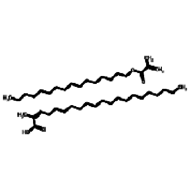 C=C(C)C(=O)OCCCCCCCCCCCCCCCC.CCCCCCCCCCCCCCCCCCC=C(C)C(=O)O